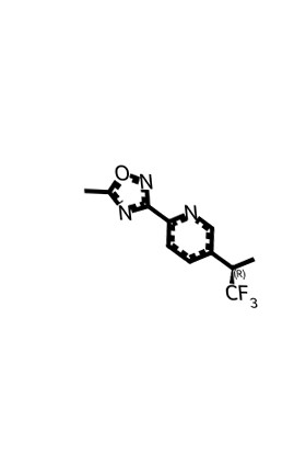 Cc1nc(-c2ccc([C@@H](C)C(F)(F)F)cn2)no1